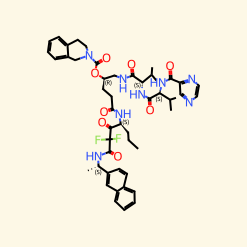 CCC[C@H](NC(=O)CC[C@H](CNC(=O)[C@@H](NC(=O)[C@@H](NC(=O)c1cnccn1)C(C)C)C(C)C)OC(=O)N1CCc2ccccc2C1)C(=O)C(F)(F)C(=O)N[C@@H](C)c1ccc2ccccc2c1